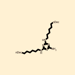 CCCCCCCCCCCCCCCCNc1nc(N)nc(NCCCCCCCCCCCCCCCC)n1